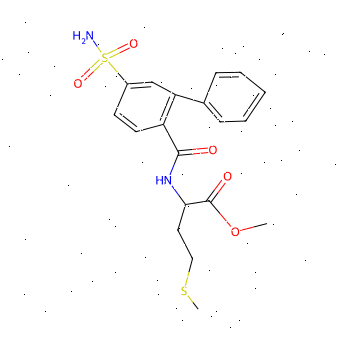 COC(=O)C(CCSC)NC(=O)c1ccc(S(N)(=O)=O)cc1-c1ccccc1